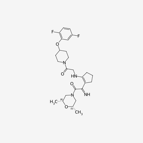 C[C@@H]1CN(C(=O)C(=N)C2=C(NCC(=O)N3CCC(Oc4cc(F)ccc4F)CC3)CCC2)C[C@H](C)O1